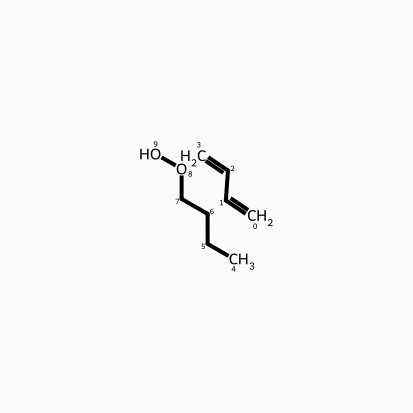 C=CC=C.CCCCOO